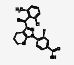 Cc1cccc(Cl)c1C(=O)c1nn(-c2ccc(C(=O)O)cc2F)c2c1CCCO2